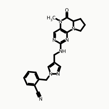 CN1C(=O)C2CCCN2c2nc(NCc3cnn(Cc4ccccc4C#N)c3)ncc21